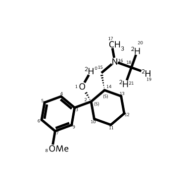 [2H]O[C@@]1(c2cccc(OC)c2)CCCC[C@H]1CN(C)C([2H])([2H])[2H]